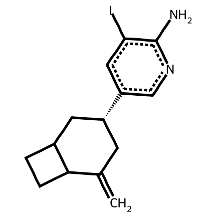 C=C1C[C@@H](c2cnc(N)c(I)c2)CC2CCC12